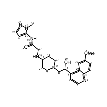 COc1ccc2nccc([C@@H](O)CN3CCC(NCC(=O)Nc4ccnn4C)CC3)c2c1